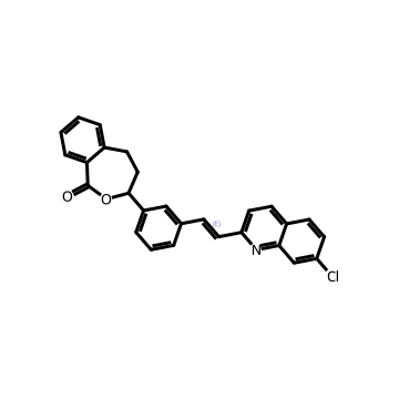 O=C1OC(c2cccc(/C=C/c3ccc4ccc(Cl)cc4n3)c2)CCc2ccccc21